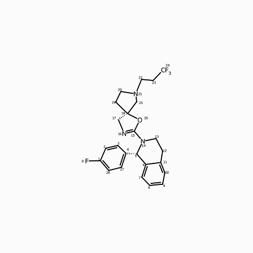 Fc1ccc([C@H]2c3ccccc3CCN2C2=NC[C@@]3(CCN(CCC(F)(F)F)C3)O2)cc1